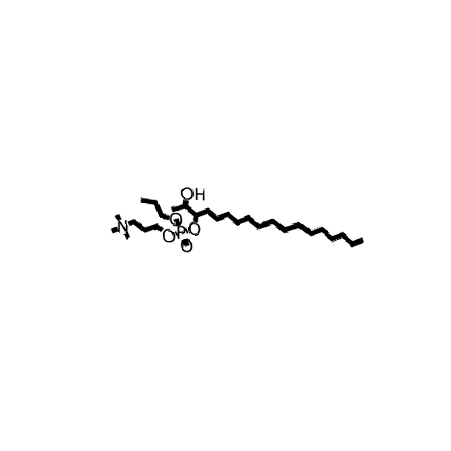 CCCCCCCCCCCCCCCC(OP(=O)(OCCC)OCCC[N+](C)(C)C)C(C)O